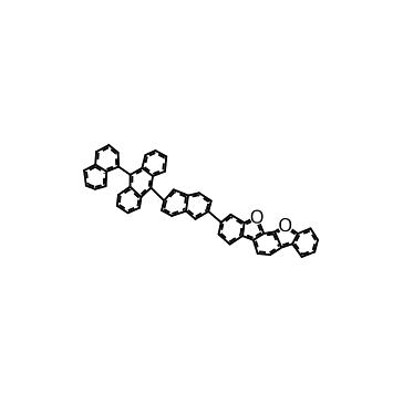 c1ccc2c(-c3c4ccccc4c(-c4ccc5cc(-c6ccc7c(c6)oc6c7ccc7c8ccccc8oc76)ccc5c4)c4ccccc34)cccc2c1